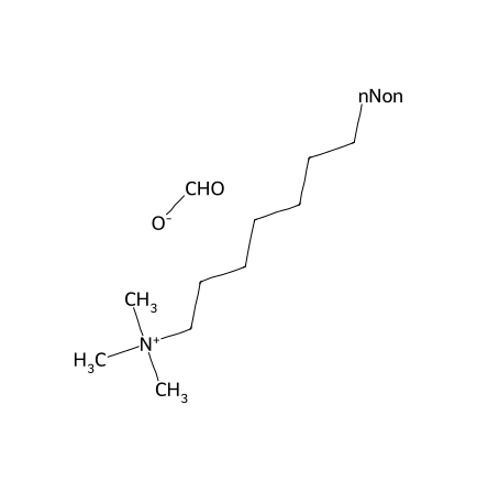 CCCCCCCCCCCCCCCC[N+](C)(C)C.O=C[O-]